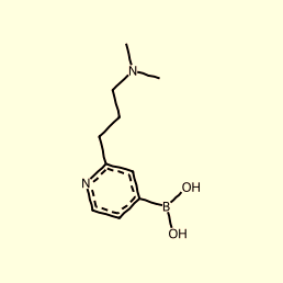 CN(C)CCCc1cc(B(O)O)ccn1